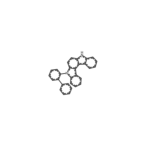 c1ccc(-c2ccccc2-n2c3ccccc3c3c4c(ccc32)[nH]c2ccccc24)cc1